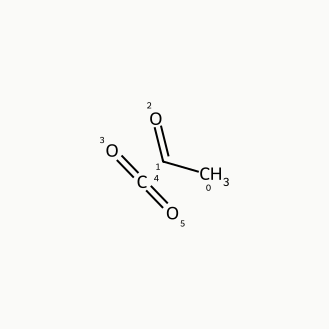 CC=O.O=C=O